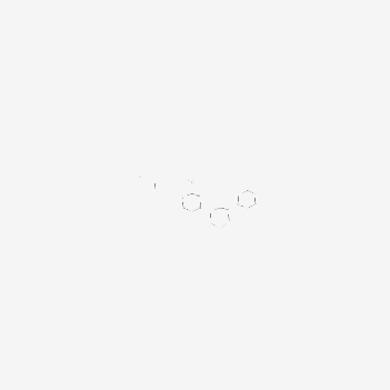 O=C(O)[C@@H]1CCC[C@H](Nc2ncc(F)c(-c3cccc(-c4ccccc4)c3)n2)C1